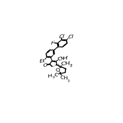 CCc1ccc(-c2ccc(Cl)c(Cl)c2F)cc1C1=C(O)[C@H]([C@@]2(C)CCC(C)(C)O2)CC1=O